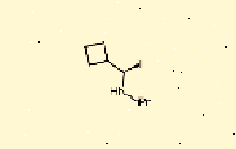 CC(C)N[C@H](I)C1CCC1